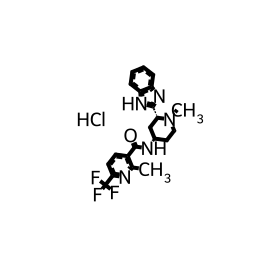 Cc1nc(C(F)(F)F)ccc1C(=O)N[C@@H]1CCN(C)[C@@H](c2nc3ccccc3[nH]2)C1.Cl